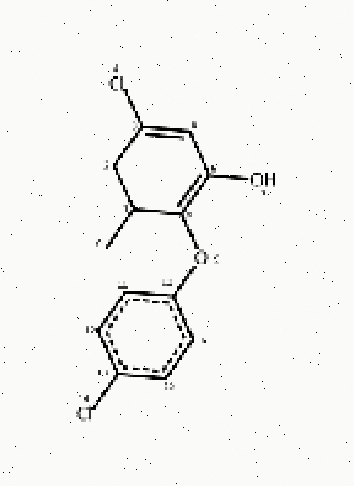 CC1CC(Cl)=CC(O)=C1Oc1ccc(Cl)cc1